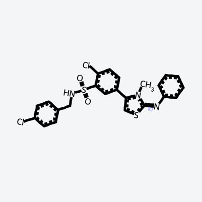 Cn1c(-c2ccc(Cl)c(S(=O)(=O)NCc3ccc(Cl)cc3)c2)cs/c1=N/c1ccccc1